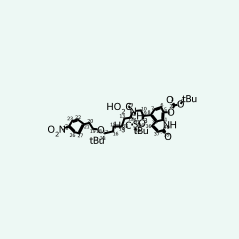 CC(C)(C)OC(=O)Oc1ccc(C(CN(CCCCC[C@@H](OCCc2ccc([N+](=O)[O-])cc2)C(C)(C)C)C(=O)O)O[Si](C)(C)C(C)(C)C)c2ccc(=O)[nH]c12